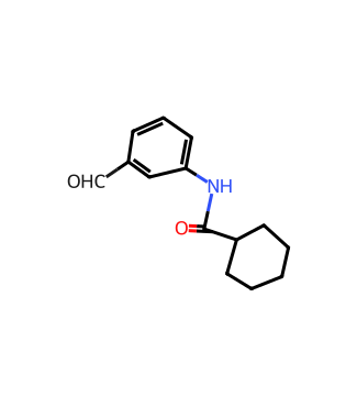 O=Cc1cccc(NC(=O)C2CCCCC2)c1